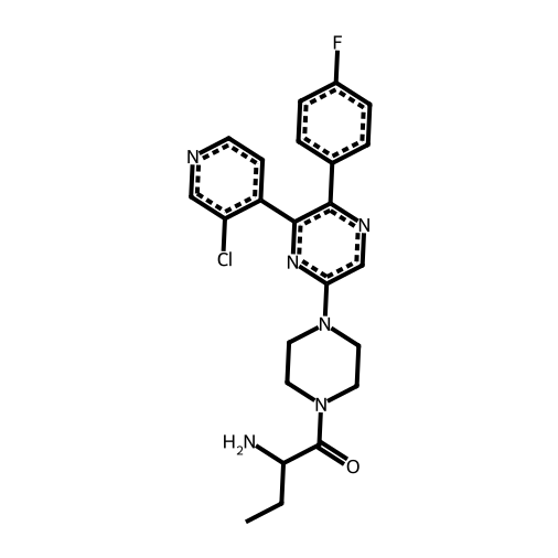 CCC(N)C(=O)N1CCN(c2cnc(-c3ccc(F)cc3)c(-c3ccncc3Cl)n2)CC1